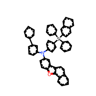 c1ccc(-c2cccc(N(c3ccc([Si](c4ccccc4)(c4ccccc4)c4ccc5ccccc5c4)cc3)c3ccc4oc5c6ccccc6ccc5c4c3)c2)cc1